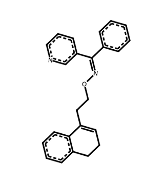 C1=C(CCO/N=C(/c2ccccc2)c2cccnc2)c2ccccc2CC1